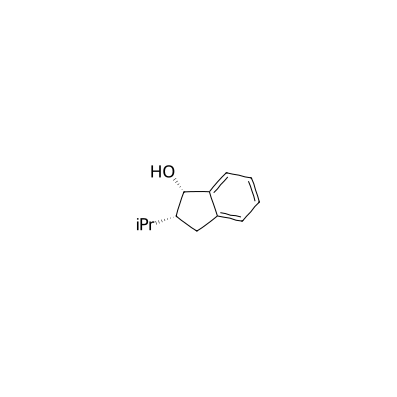 CC(C)[C@H]1Cc2ccccc2[C@H]1O